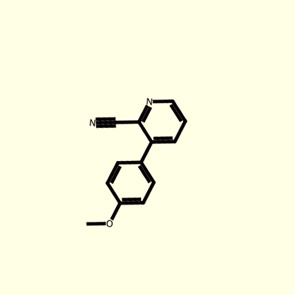 COc1ccc(-c2cccnc2C#N)cc1